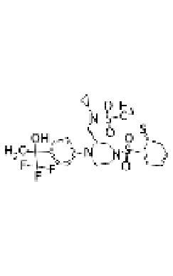 C[C@@](O)(c1ccc(N2CCN(S(=O)(=O)C3=CC=CCC3=S)C[C@@H]2CN(C2CC2)S(C)(=O)=O)cc1)C(F)(F)F